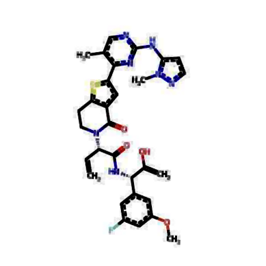 C=C[C@@H](C(=O)N[C@H](C(=C)O)c1cc(F)cc(OC)c1)N1CCc2sc(-c3nc(Nc4ccnn4C)ncc3C)cc2C1=O